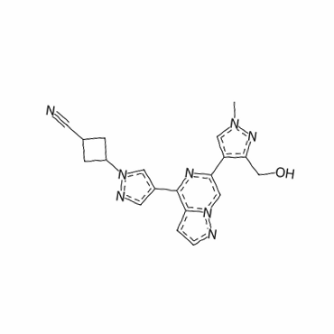 Cn1cc(-c2cn3nccc3c(-c3cnn(C4CC(C#N)C4)c3)n2)c(CO)n1